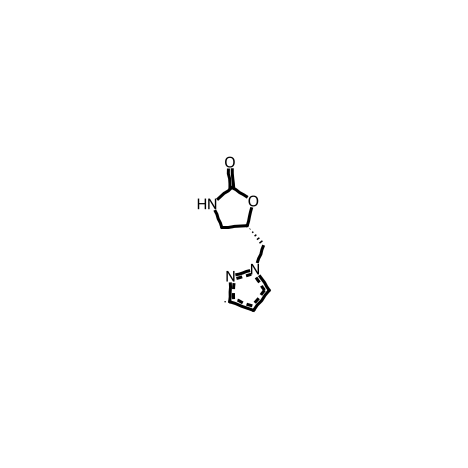 O=C1NC[C@@H](Cn2cc[c]n2)O1